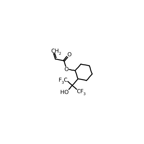 C=CC(=O)OC1CCCCC1C(O)(C(F)(F)F)C(F)(F)F